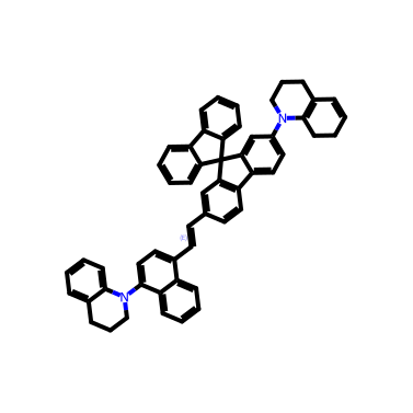 C1=CC2=C(CC1)N(c1ccc3c(c1)C1(c4ccccc4-c4ccccc41)c1cc(/C=C/c4ccc(N5CCCc6ccccc65)c5ccccc45)ccc1-3)CCC2